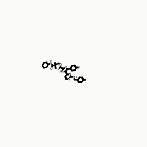 CC1(C(=O)NC2CCCCC2)COC(c2nc(-c3ccc(F)cc3)c(-c3ccnc(NCc4ccc(F)cc4)n3)[nH]2)OC1